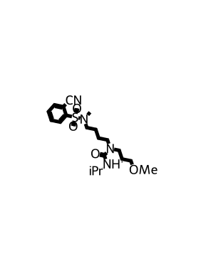 COC[CH]CN(CCCCN(C)S(=O)(=O)c1ccccc1C#N)C(=O)NC(C)C